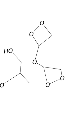 C1OOC1OC1COO1.CC(O)CO